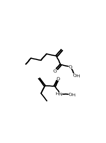 C=C(CC)C(=O)NO.C=C(CCCC)C(=O)OO